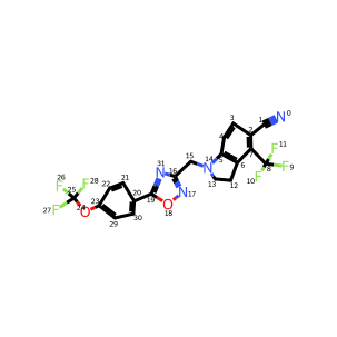 N#Cc1ccc2c(c1C(F)(F)F)CCN2Cc1noc(-c2ccc(OC(F)(F)F)cc2)n1